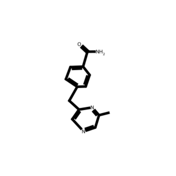 Cc1cncc(Cc2ccc(C(N)=O)cc2)n1